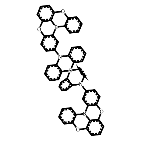 c1ccc2c(c1)Oc1cccc3c1B2c1cc(N2c4ccccc4[Si]4(c5ccccc52)c2ccccc2N(c2ccc5c(c2)B2c6ccccc6Oc6cccc(c62)O5)c2ccccc24)ccc1O3